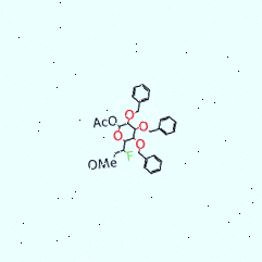 COC[C@H](F)C1OC(OC(C)=O)C(OCc2ccccc2)C(OCc2ccccc2)C1OCc1ccccc1